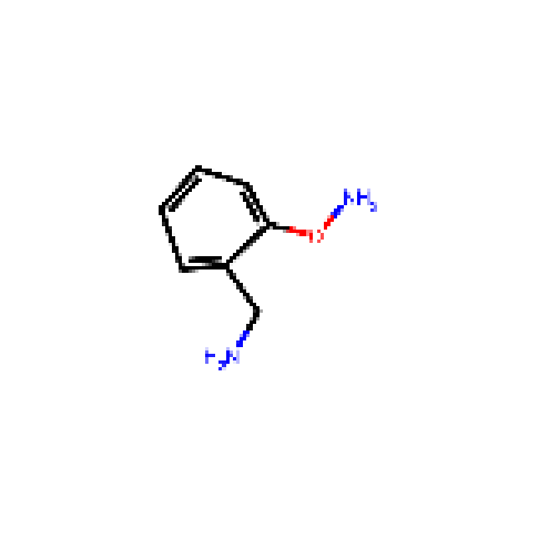 NCc1ccccc1ON